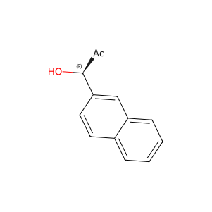 CC(=O)[C@H](O)c1ccc2ccccc2c1